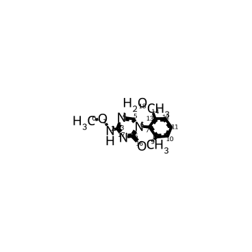 CONc1ncn(-c2c(C)cccc2C)c(=O)n1.O